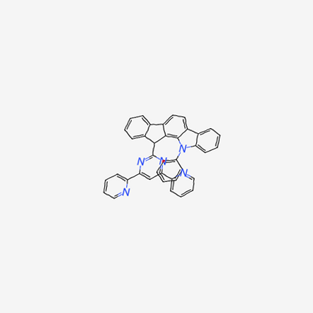 c1ccc(-n2c3ccccc3c3ccc4c(c32)C(c2nc(-c3ccccn3)cc(-c3ccccn3)n2)c2ccccc2-4)cc1